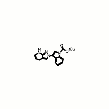 CC(C)(C)OC(=O)n1cc(-n2cc3c(n2)NC=CC3)c2ccccc21